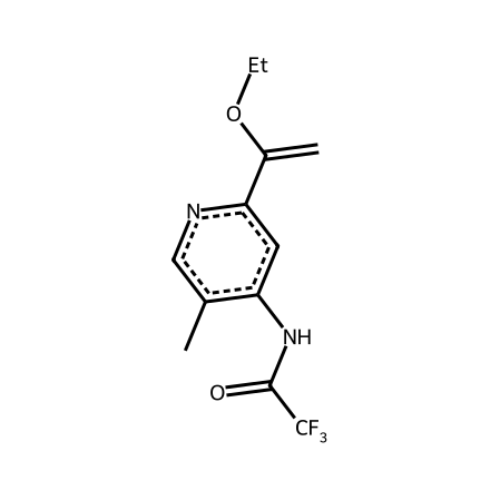 C=C(OCC)c1cc(NC(=O)C(F)(F)F)c(C)cn1